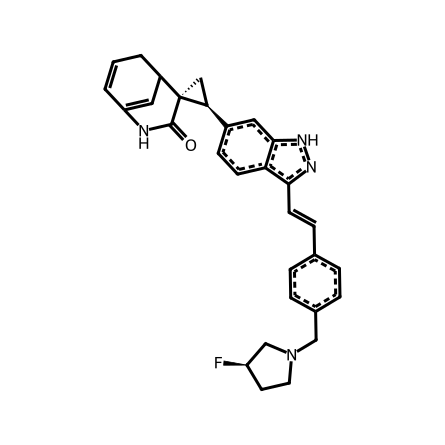 O=C1NC2=CC(CC=C2)[C@]12C[C@H]2c1ccc2c(/C=C/c3ccc(CN4CC[C@@H](F)C4)cc3)n[nH]c2c1